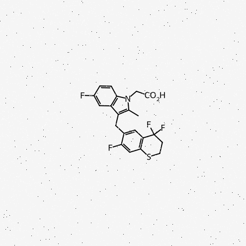 Cc1c(Cc2cc3c(cc2F)SCCC3(F)F)c2cc(F)ccc2n1CC(=O)O